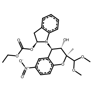 CCOC(=O)O[C@H]1Cc2ccccc2N1[C@@H]1c2cc([N+](=O)[O-])ccc2O[C@](C)(C(OC)OC)[C@H]1O